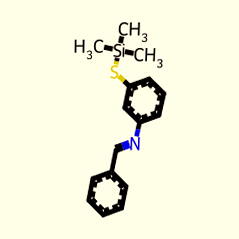 C[Si](C)(C)Sc1cccc(N=Cc2ccccc2)c1